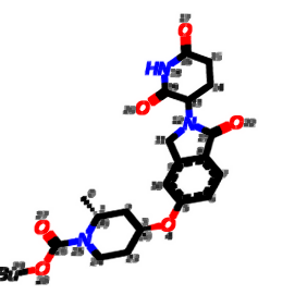 C[C@@H]1C[C@@H](Oc2ccc3c(c2)CN(C2CCC(=O)NC2=O)C3=O)CCN1C(=O)OC(C)(C)C